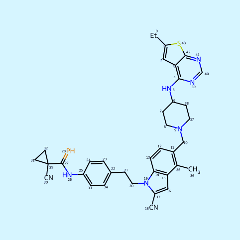 CCc1cc2c(NC3CCN(Cc4ccc5c(cc(C#N)n5CCc5ccc(NC(=P)C6(C#N)CC6)cc5)c4C)CC3)ncnc2s1